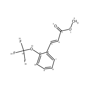 COC(=O)C=Cc1ccccc1OC(F)(F)F